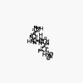 CS(=O)(=O)NCc1cc(F)cc(-c2nccc3[nH]c(-c4n[nH]c5ncc(-c6cn[nH]c6)cc45)nc23)c1